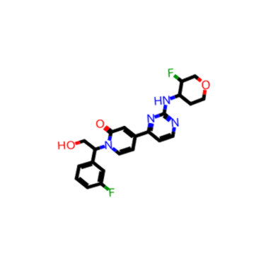 O=c1cc(-c2ccnc(NC3CCOCC3F)n2)ccn1C(CO)c1cccc(F)c1